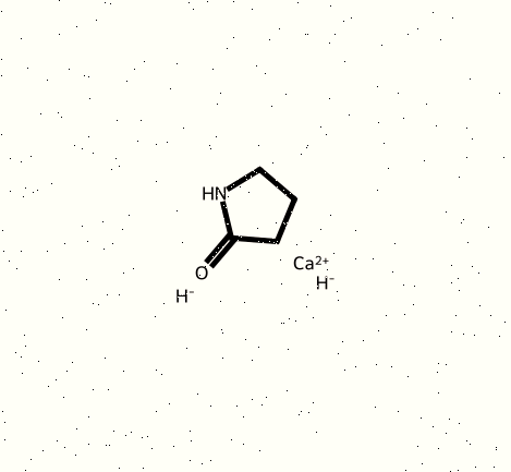 O=C1CCCN1.[Ca+2].[H-].[H-]